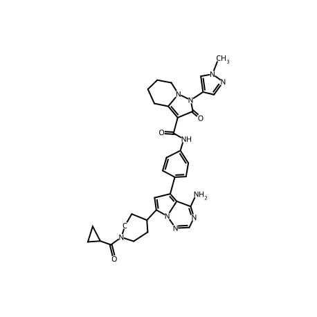 Cn1cc(-n2c(=O)c(C(=O)Nc3ccc(-c4cc(C5CCN(C(=O)C6CC6)CC5)n5ncnc(N)c45)cc3)c3n2CCCC3)cn1